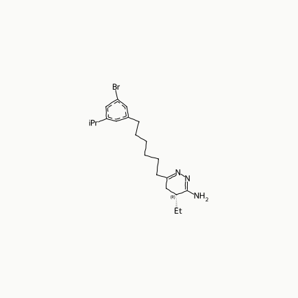 CC[C@@H]1CC(CCCCCCc2cc(Br)cc(C(C)C)c2)=NN=C1N